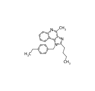 CCCCc1nc2c(C)nc3ccccc3c2n1Cc1ccc(CC)cc1